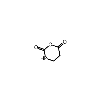 O=C1CCPC(=O)O1